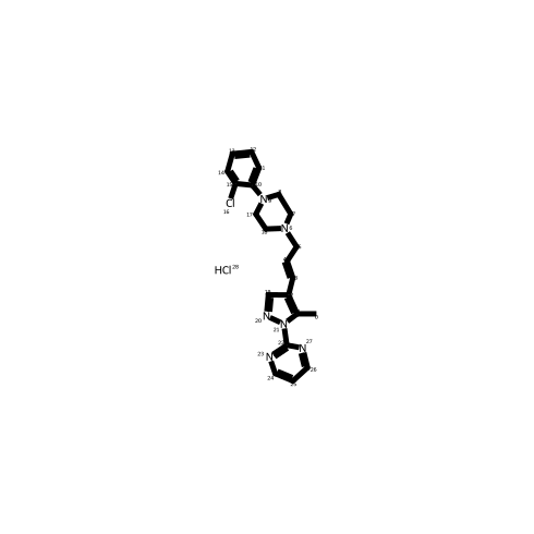 Cc1c(C=CCN2CCN(c3ccccc3Cl)CC2)cnn1-c1ncccn1.Cl